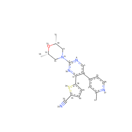 Cc1cc(-c2cnc(N3C[C@@H](C)O[C@@H](C)C3)nc2-c2ccc(C#N)s2)ccn1